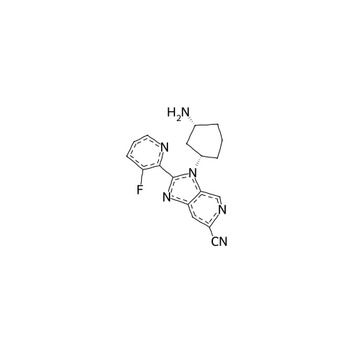 N#Cc1cc2nc(-c3ncccc3F)n([C@H]3CCC[C@@H](N)C3)c2cn1